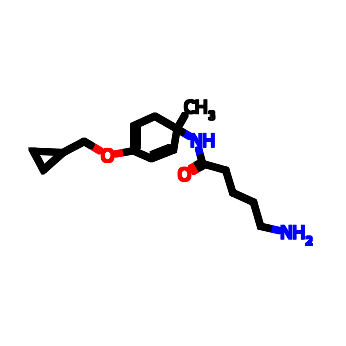 CC1(NC(=O)CCCCN)C=CC(OCC2CC2)=CC1